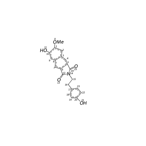 COc1cc2cc3c(cc2cc1O)C(=O)N(CCc1ccc(O)cc1)C3=O